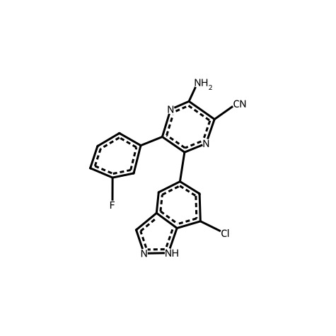 N#Cc1nc(-c2cc(Cl)c3[nH]ncc3c2)c(-c2cccc(F)c2)nc1N